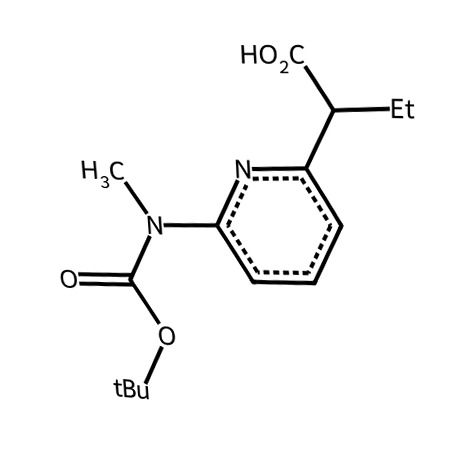 CCC(C(=O)O)c1cccc(N(C)C(=O)OC(C)(C)C)n1